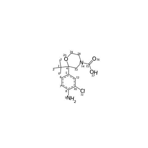 CC(C)(C)C1(c2ccc(N)c(Cl)c2)CN(C(=O)O)CCO1